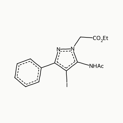 CCOC(=O)Cn1nc(-c2ccccc2)c(I)c1NC(C)=O